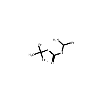 CC(C)C(N)OC(=O)OC(C)(C)C(C)C